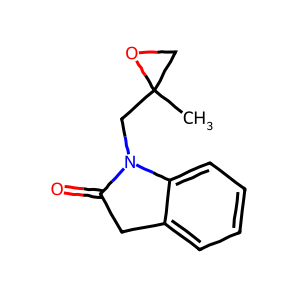 CC1(CN2C(=O)Cc3ccccc32)CO1